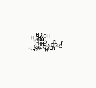 CC(O)=[SH]CC(C[SH]=C(C)O)C(=O)Nc1cc2c(Nc3ccc(OCc4cccc(F)c4)c(Cl)c3)c(C#N)cnc2cc1OC[C@H]1COC(C)(C)O1